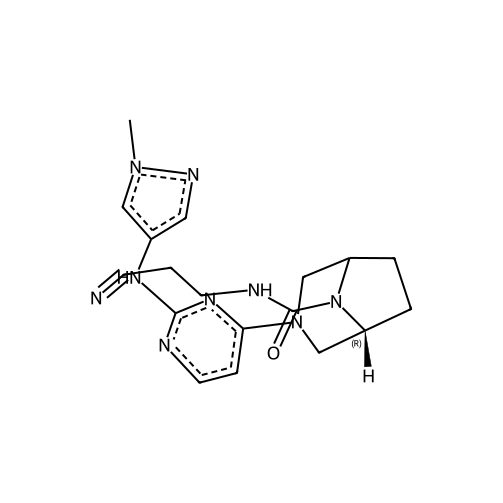 Cn1cc(Nc2nccc(N3CC4CC[C@H](C3)N4C(=O)NCCC#N)n2)cn1